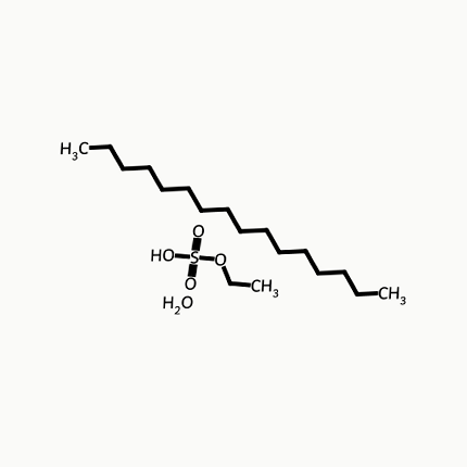 CCCCCCCCCCCCCCCC.CCOS(=O)(=O)O.O